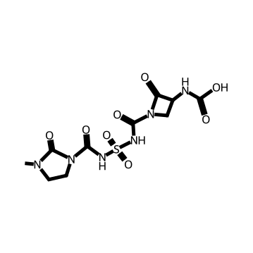 CN1CCN(C(=O)NS(=O)(=O)NC(=O)N2CC(NC(=O)O)C2=O)C1=O